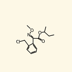 CCC(C)OC(=O)C(=NOC)c1ccccc1CCl